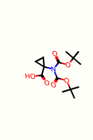 CC(C)(C)OC(=O)N(C(=O)OC(C)(C)C)C1(C(=O)O)CC1